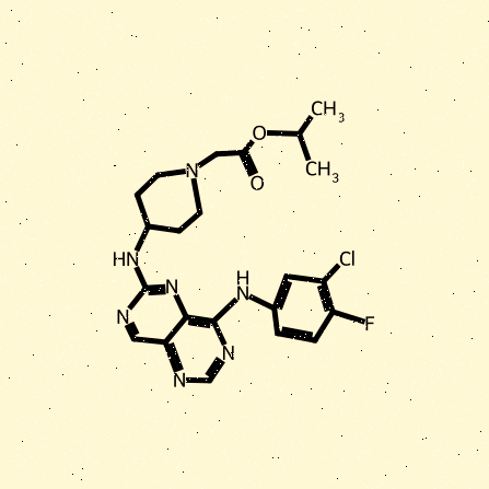 CC(C)OC(=O)CN1CCC(Nc2ncc3ncnc(Nc4ccc(F)c(Cl)c4)c3n2)CC1